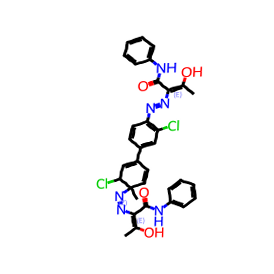 C/C(O)=C(\N=Nc1ccc(C2=CC(Cl)C(C)(/N=N\C(C(=O)Nc3ccccc3)=C(/C)O)C=C2)cc1Cl)C(=O)Nc1ccccc1